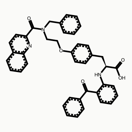 O=C(c1ccccc1)c1ccccc1N[C@@H](Cc1ccc(OCCN(Cc2ccccc2)C(=O)c2ccc3ccccc3n2)cc1)C(=O)O